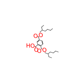 CCCCC(CC)COC(=O)c1ccc(C(=O)OCC(CC)CCCC)c(C(=O)O)c1